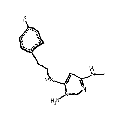 CNC1=NCN(N)C(NCCc2ccc(F)cc2)=C1